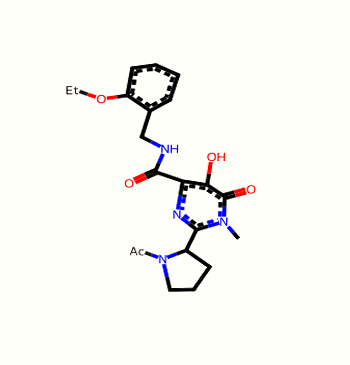 CCOc1ccccc1CNC(=O)c1nc(C2CCCN2C(C)=O)n(C)c(=O)c1O